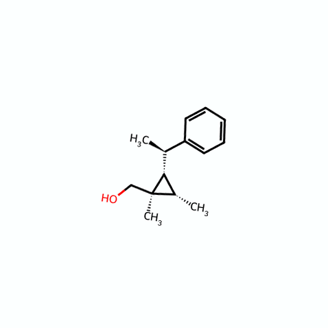 C[C@@H](c1ccccc1)[C@@H]1[C@H](C)[C@@]1(C)CO